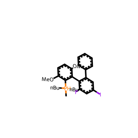 CCCC[PH](C)(CCCC)c1c(OC)ccc(OC)c1-c1c(I)cc(I)cc1-c1ccccc1